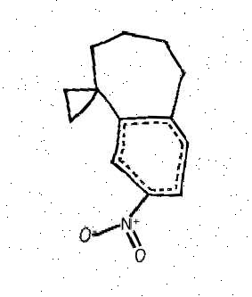 O=[N+]([O-])c1ccc2c(c1)C1(CCCC2)CC1